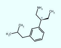 CC[C@H](CN)c1cccc(CC(C)C)c1